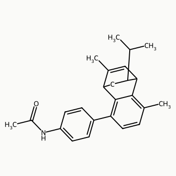 CC(=O)Nc1ccc(-c2ccc(C)c3c2C2CC(C(C)C)C3C=C2C)cc1